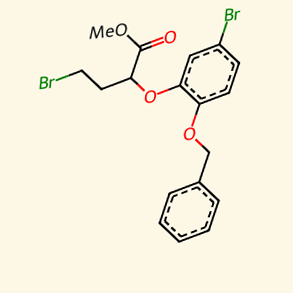 COC(=O)C(CCBr)Oc1cc(Br)ccc1OCc1ccccc1